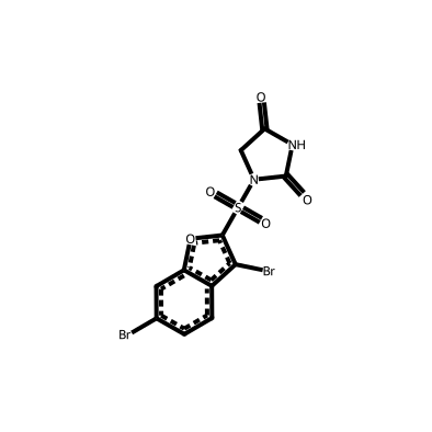 O=C1CN(S(=O)(=O)c2oc3cc(Br)ccc3c2Br)C(=O)N1